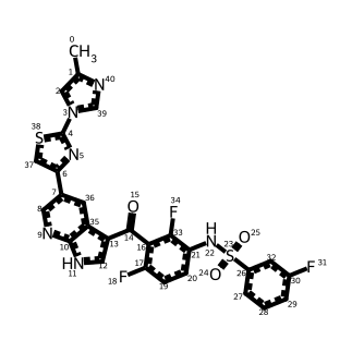 Cc1cn(-c2nc(-c3cnc4[nH]cc(C(=O)c5c(F)ccc(NS(=O)(=O)c6cccc(F)c6)c5F)c4c3)cs2)cn1